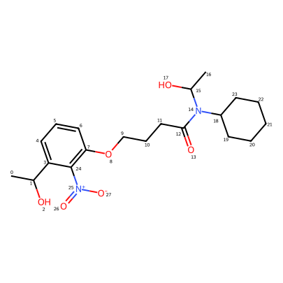 CC(O)c1cccc(OCCCC(=O)N(C(C)O)C2CCCCC2)c1[N+](=O)[O-]